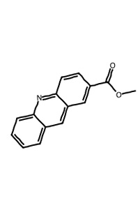 COC(=O)c1ccc2nc3ccccc3cc2c1